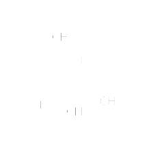 CCC(C)c1c(I)ccc(C)c1I